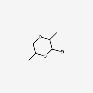 CCC1OC(C)COC1C